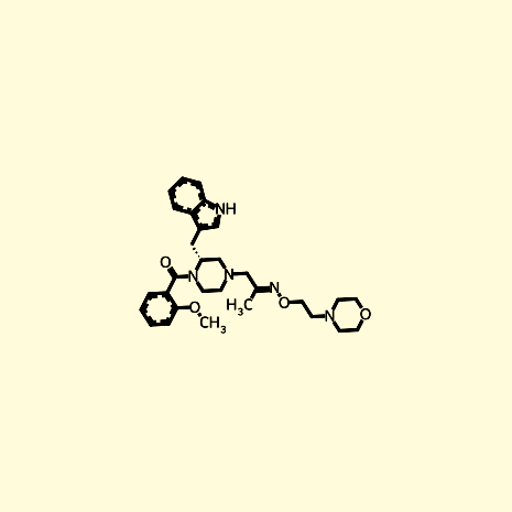 COc1ccccc1C(=O)N1CCN(C/C(C)=N/OCCN2CCOCC2)C[C@H]1Cc1c[nH]c2ccccc12